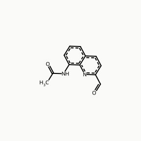 CC(=O)Nc1cccc2ccc(C=O)nc12